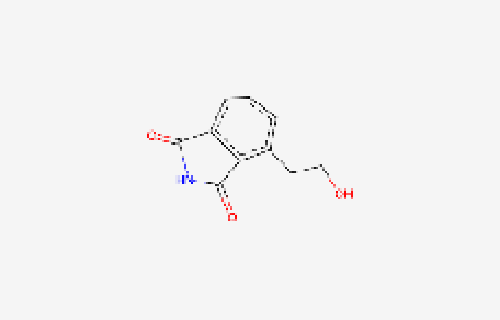 O=C1NC(=O)c2c(CCO)cccc21